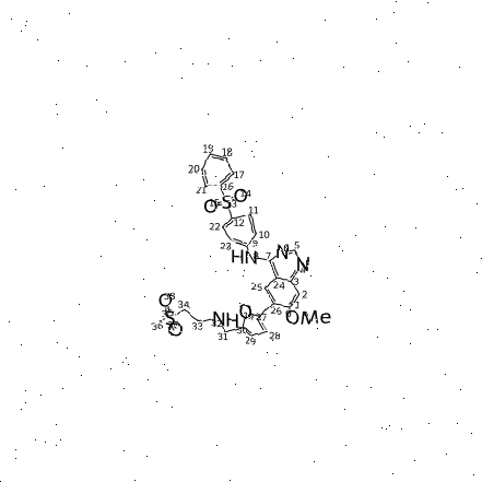 COc1cc2ncnc(Nc3ccc(S(=O)(=O)c4ccccc4)cc3)c2cc1-c1ccc(CNCCS(C)(=O)=O)o1